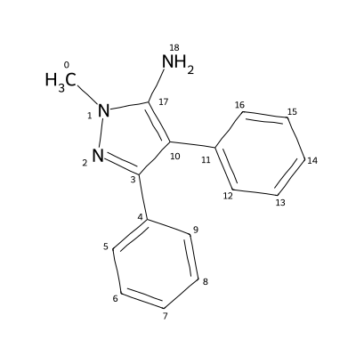 Cn1nc(-c2ccccc2)c(-c2ccccc2)c1N